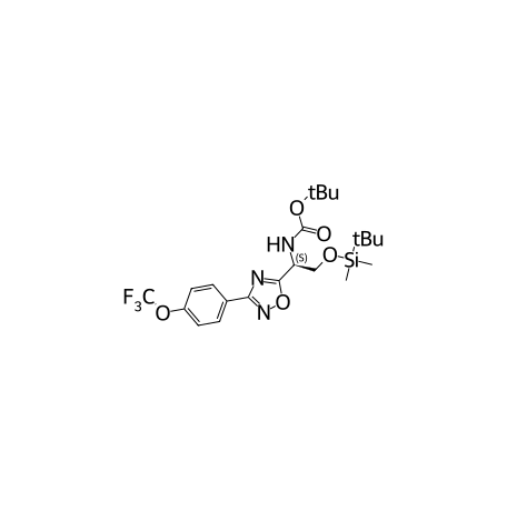 CC(C)(C)OC(=O)N[C@@H](CO[Si](C)(C)C(C)(C)C)c1nc(-c2ccc(OC(F)(F)F)cc2)no1